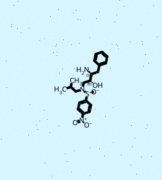 CC(C)CN(C[C@@H](O)[C@@H](N)Cc1ccccc1)[S+]([O-])c1ccc([N+](=O)[O-])cc1